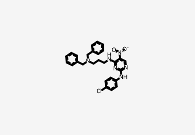 O=[N+]([O-])c1cnc(Nc2ccc(Cl)cc2)nc1NCCCN(Cc1ccccc1)Cc1ccccc1